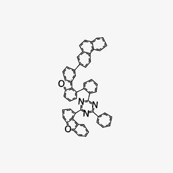 c1ccc(-c2nc(-c3ccccc3-c3cccc4oc5ccc(-c6ccc7c(ccc8ccccc87)c6)cc5c34)nc(-c3cccc4oc5ccccc5c34)n2)cc1